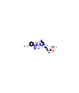 Cc1cc(NCCCN(C)C(=O)OC(C)(C)C)nc(NC(=O)Nc2cccc(C(F)(F)F)c2)n1